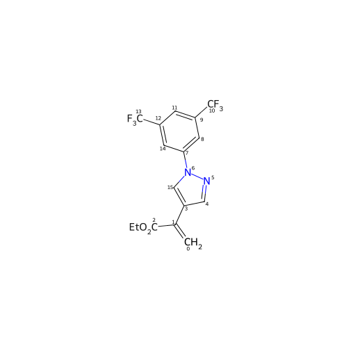 C=C(C(=O)OCC)c1cnn(-c2cc(C(F)(F)F)cc(C(F)(F)F)c2)c1